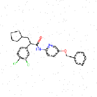 O=C(Nc1ccc(OCc2ccccc2)cn1)C(CC1CCCC1)c1ccc(Cl)c(Cl)c1